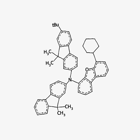 CC(C)(C)c1ccc2c(c1)C(C)(C)c1cc(N(c3ccc4c(c3)C(C)(C)c3ccccc3-4)c3cccc4c3oc3c(C5CCCCC5)cccc34)ccc1-2